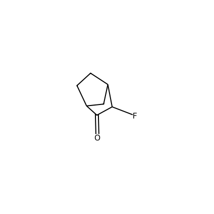 O=C1C2CCC(C2)C1F